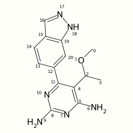 COC(C)c1c(N)nc(N)nc1-c1ccc2cn[nH]c2c1